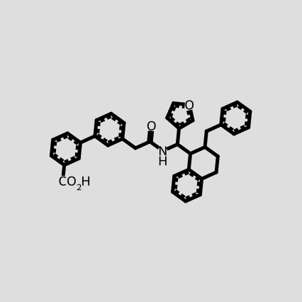 O=C(Cc1cccc(-c2cccc(C(=O)O)c2)c1)NC(c1ccoc1)C1c2ccccc2CCC1Cc1ccccc1